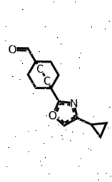 O=CC12CCC(c3nc(C4CC4)co3)(CC1)CC2